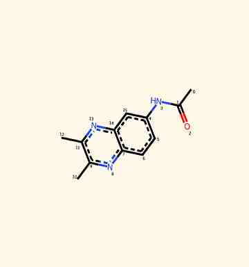 CC(=O)Nc1ccc2nc(C)c(C)nc2c1